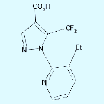 CCc1cccnc1-n1ncc(C(=O)O)c1C(F)(F)F